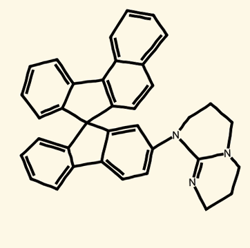 c1ccc2c(c1)-c1ccc(N3CCCN4CCCN=C43)cc1C21c2ccccc2-c2c1ccc1ccccc21